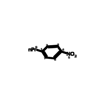 CCCc1ccc([N+](=O)[O-])cc1